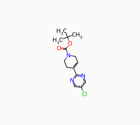 CC(C)(C)OC(=O)N1CC=C(c2ncc(Cl)cn2)CC1